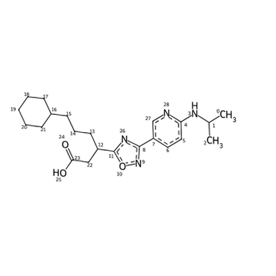 CC(C)Nc1ccc(-c2noc(C(CCCC3CCCCC3)CC(=O)O)n2)cn1